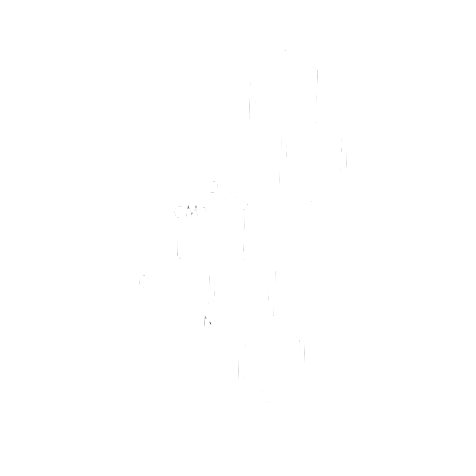 COC(=O)c1nc2ccccc2cc1C(=O)c1cccc2ccccc12